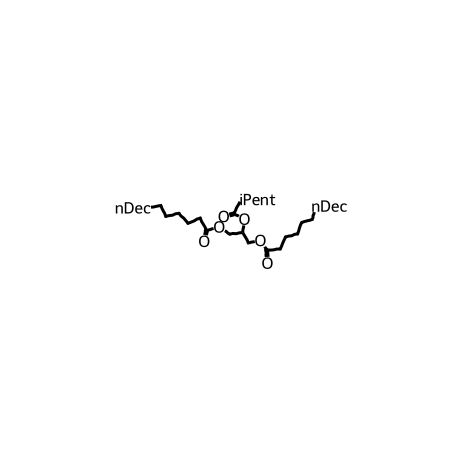 CCCCCCCCCCCCCCCC(=O)OCC(COC(=O)CCCCCCCCCCCCCCC)OC(=O)C(C)CCC